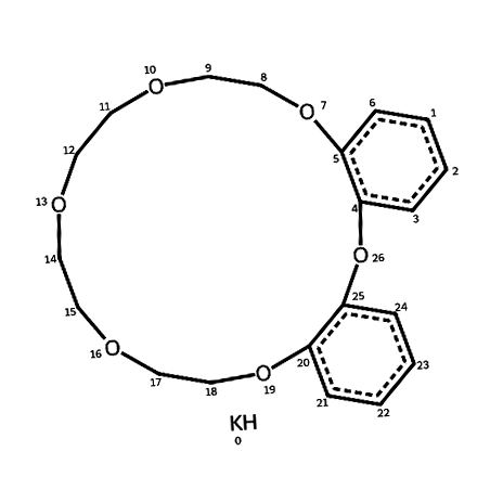 [KH].c1ccc2c(c1)OCCOCCOCCOCCOc1ccccc1O2